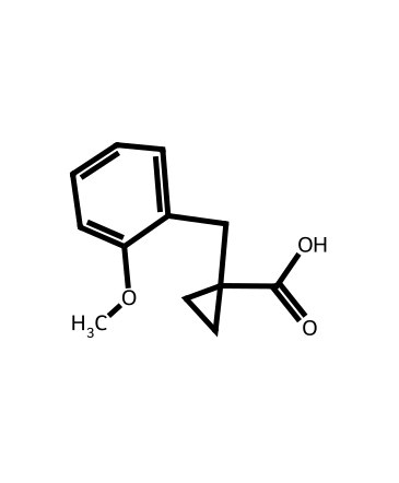 COc1ccccc1CC1(C(=O)O)CC1